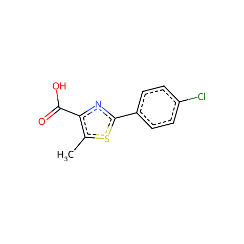 Cc1sc(-c2ccc(Cl)cc2)nc1C(=O)O